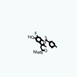 CNC(=O)Cc1c(C)n(C(=S)c2ccc(C)cc2)c2cc(F)c(O)cc12